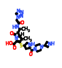 C[C@@H](NC(=O)Cn1cnnn1)[C@H]1C(=O)N2C(C(=O)O)=C(S[C@@H]3CN[C@H](C(=O)N4CCN(C5CNC5)CC4)C3)[C@H](C)[C@H]12